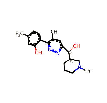 Cc1cc([C@H](O)[C@@H]2CCCN(C(C)C)C2)nnc1-c1ccc(C(F)(F)F)cc1O